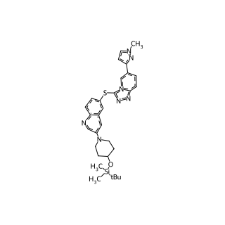 Cn1ccc(-c2ccc3nnc(Sc4ccc5ncc(N6CCC(O[Si](C)(C)C(C)(C)C)CC6)cc5c4)n3c2)n1